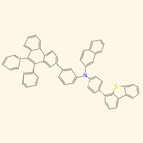 c1ccc(-c2c(-c3ccccc3)c3cc(-c4cccc(N(c5ccc(-c6cccc7c6sc6ccccc67)cc5)c5ccc6ccccc6c5)c4)ccc3c3ccccc23)cc1